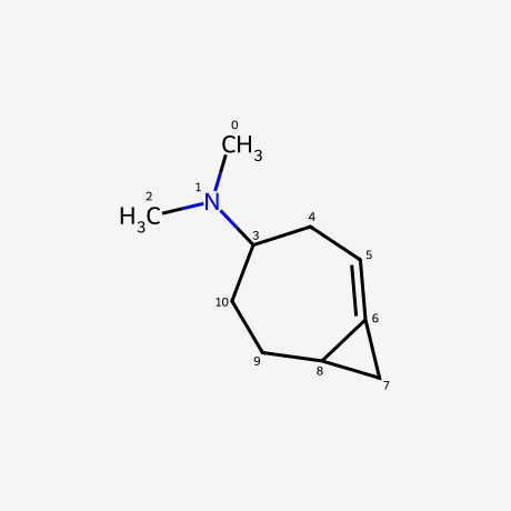 CN(C)C1CC=C2CC2CC1